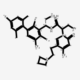 Cc1cc(F)cc(C)c1-c1cc(C(F)(F)F)c(F)c([C@H](CC(=O)O)NC(=O)C(CC(C)C)n2cc(CCN3CCC3)c(C(F)(F)F)cc2=O)c1F